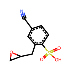 N#Cc1ccc(S(=O)(=O)O)c(CC2CO2)c1